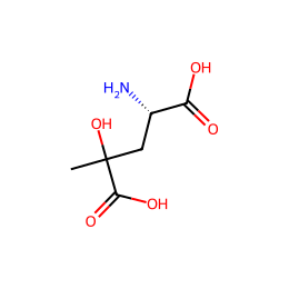 CC(O)(C[C@H](N)C(=O)O)C(=O)O